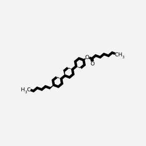 CCCCCCC(=O)O[C@H]1CC[C@H]([C@H]2CC[C@H]([C@H]3CC[C@H](CCCCCC)CC3)CC2)CC1